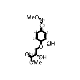 CON=C=C1C=CC(OC[C@@H](O)C(=O)OC)C=C1.Cl